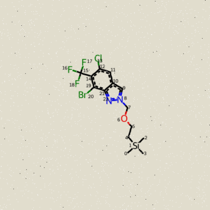 C[Si](C)(C)CCOCn1cc2cc(Cl)c(C(F)(F)F)c(Br)c2n1